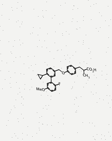 COc1ccc(F)c(-c2cc(COc3ccc(CC(C)C(=O)O)cc3)ccc2C2CC2)c1